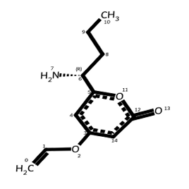 C=COc1cc([C@H](N)CCC)oc(=O)c1